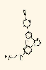 CCCNc1ccc2c(c1)Cn1cc(-c3ccc(C#N)cc3)cc1-c1nccn1-2